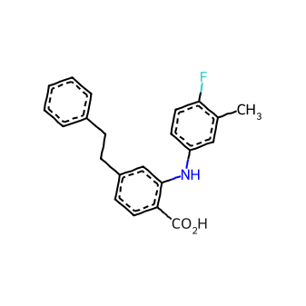 Cc1cc(Nc2cc(CCc3ccccc3)ccc2C(=O)O)ccc1F